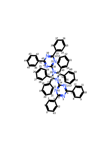 c1ccc(-c2nc(-c3ccccc3)nc(N3[Si](c4ccccc4)(c4ccccc4)N(c4nc(-c5ccccc5)nc(-c5ccccc5)n4)[Si]3(c3ccccc3)c3ccccc3)n2)cc1